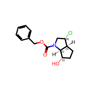 O=C(OCc1ccccc1)N1C[C@H](Cl)[C@H]2CC[C@H](O)[C@H]21